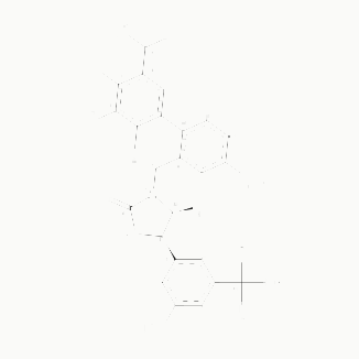 Cc1cc([C@H]2OC(=O)N(Cc3cc(C)ccc3-c3cc(C(C)C)c(F)c(O)c3O)[C@H]2C)cc(C(F)(F)F)c1